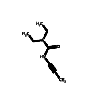 CC#CNC(=O)N(CC)CC